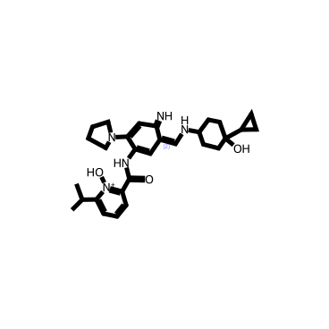 CC(C)c1cccc(C(=O)NC2=C/C(=C/NC3CCC(O)(C4CC4)CC3)C(=N)C=C2N2CCCC2)[n+]1O